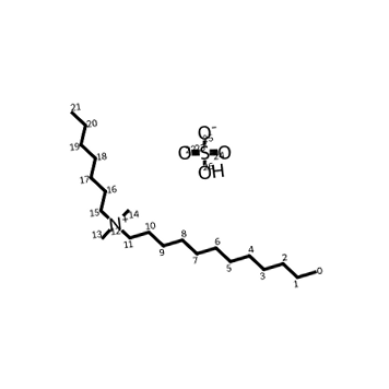 CCCCCCCCCCCC[N+](C)(C)CCCCCCC.O=S(=O)([O-])O